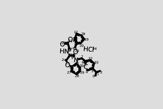 CC(C)c1ccc(CN2C(=O)[C@@H](N[C@@H](Cc3ccccc3)C(=O)O)COc3ccccc32)cc1.Cl